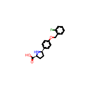 O=C(O)[C@@H]1CC[C@H](c2ccc(OCc3ccccc3F)cc2)N1